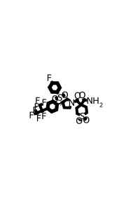 NC(=O)C1(C(=O)N2CC[C@](c3ccc(C(F)(C(F)(F)F)C(F)(F)F)cc3)(S(=O)(=O)c3ccc(F)cc3)C2)CCS(=O)(=O)CC1